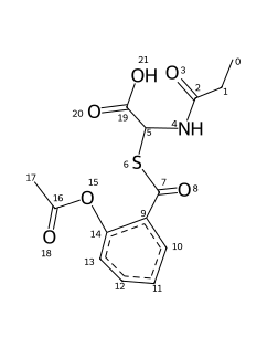 CCC(=O)NC(SC(=O)c1ccccc1OC(C)=O)C(=O)O